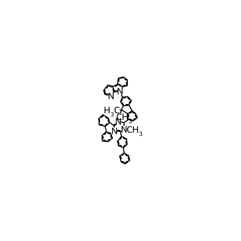 CN1C(c2ccc(-c3ccccc3)cc2)=NC(c2ccccc2-c2ccccc2)=NC1c1cccc2c1C(C)(C)c1cc(-n3c4ccccc4c4cccnc43)ccc1-2